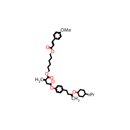 C=C(CCc1ccc(OC(=O)CC(=C)C(=O)OCCCCCCOC(=O)/C=C/c2ccc(OC)cc2)cc1)OC1CCC(CCC)CC1